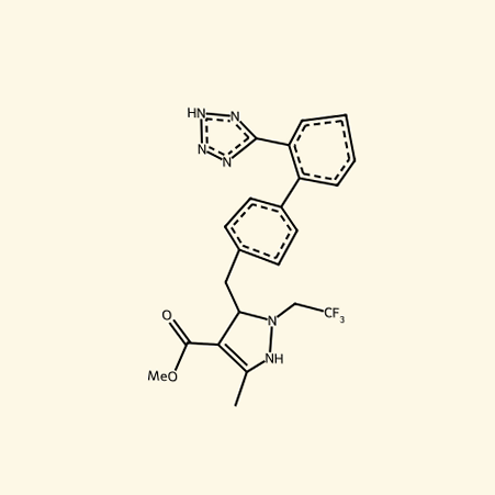 COC(=O)C1=C(C)NN(CC(F)(F)F)C1Cc1ccc(-c2ccccc2-c2nn[nH]n2)cc1